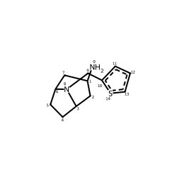 NC1CC2CCC(C1)N2Cc1cccs1